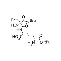 CC(C)C[C@](N)(C(=O)N[C@@H](CCCC(N)C(=O)OC(C)(C)C)C(=O)O)C(=O)OC(C)(C)C